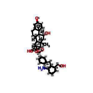 C[C@]12C=CC(=O)C=C1CC[C@@H]1[C@@H]2[C@@H](O)C[C@@]2(C)[C@H]1C[C@H]1O[C@@H](c3cccc(Cc4c(N)cccc4CO)c3)O[C@]12C(=O)CO